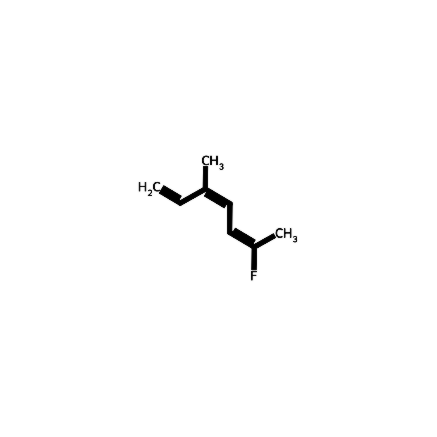 C=C/C(C)=C\C=C(/C)F